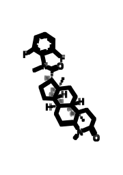 CN1C(=O)CC[C@@]2(C)C1=CC[C@H]1[C@@H]3CC[C@H](C(=O)N(C)c4c(F)cccc4F)[C@@]3(C)CC[C@@H]12